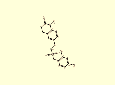 CCN1C(=O)CCc2cc(CNS(=O)(=O)Cc3ccc(Cl)cc3Br)ccc21